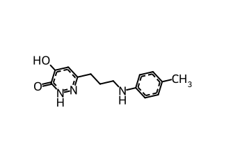 Cc1ccc(NCCCc2cc(O)c(=O)[nH]n2)cc1